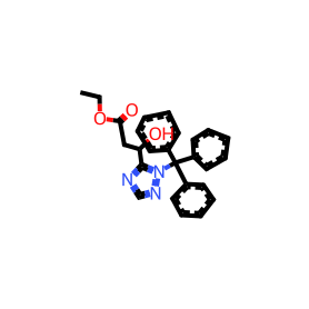 CCOC(=O)CC(O)c1ncnn1C(c1ccccc1)(c1ccccc1)c1ccccc1